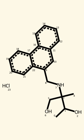 CC(O)C(C)(CO)NCc1cc2ccccc2c2ccccc12.Cl